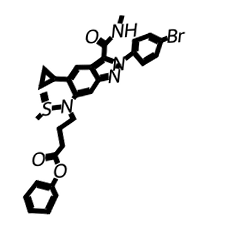 C=S(C)N(CCCC(=O)Oc1ccccc1)c1cc2nn(-c3ccc(Br)cc3)c(C(=O)NC)c2cc1C1CC1